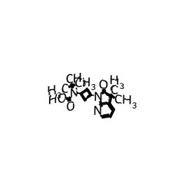 CC1(C)C(=O)N([C@H]2C[C@H](N(C(=O)O)C(C)(C)C)C2)c2ncccc21